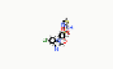 N#Cc1cc(Cl)ccc1N1CCOc2cc(S(=O)(=O)Nc3nccs3)ccc21